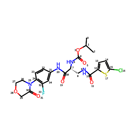 CC(C)OC(=O)N[C@H](CNC(=O)c1ccc(Cl)s1)C(=O)Nc1ccc(N2CCOCC2=O)c(F)c1